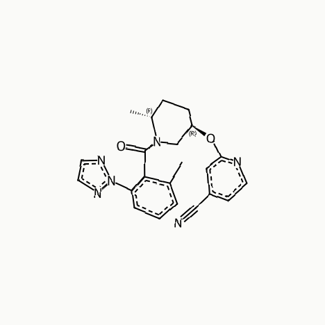 Cc1cccc(-n2nccn2)c1C(=O)N1C[C@H](Oc2cc(C#N)ccn2)CC[C@H]1C